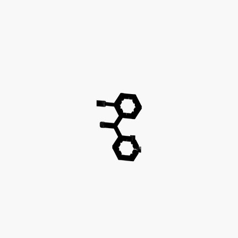 O=C(c1cccnn1)c1ccccc1O